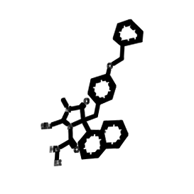 CCNC(=O)N1C(C(C)(C)C)N(C)C(=O)C1(Cc1ccc(OCc2ccccc2)cc1)c1cccc2ccccc12